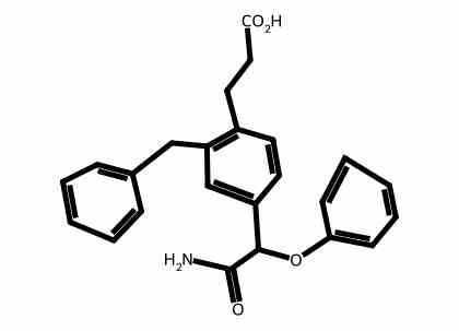 NC(=O)C(Oc1ccccc1)c1ccc(CCC(=O)O)c(Cc2ccccc2)c1